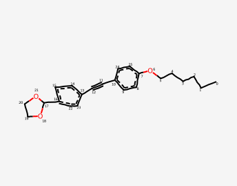 CCCCCCOc1ccc(C#Cc2ccc(C3OCCO3)cc2)cc1